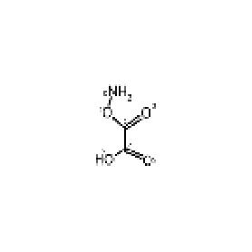 NOC(=O)C(=O)O